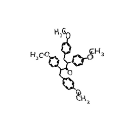 COc1ccc(CC(C(=O)C(Cc2ccc(OC)cc2)c2ccc(OC)cc2)c2ccc(OC)cc2)cc1